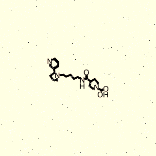 O=C(NCCCCCN1CCCC1c1cccnc1)C1CCN(C(=O)O)CC1